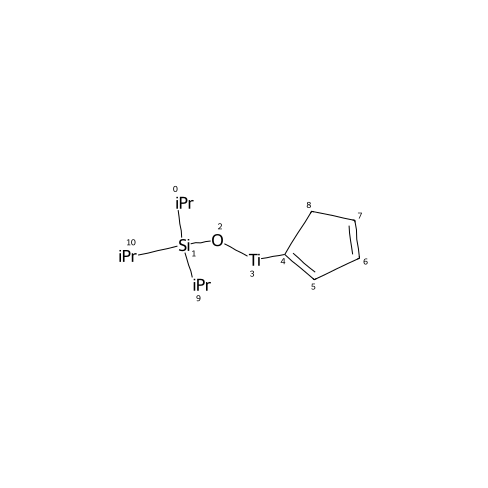 CC(C)[Si]([O][Ti][C]1=CC=CC1)(C(C)C)C(C)C